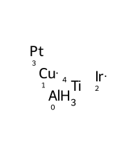 [AlH3].[Cu].[Ir].[Pt].[Ti]